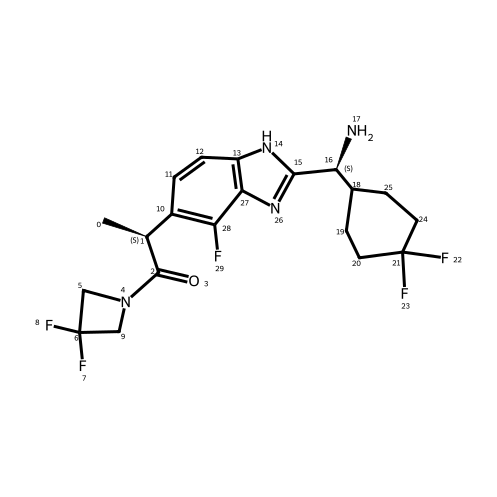 C[C@H](C(=O)N1CC(F)(F)C1)c1ccc2[nH]c([C@@H](N)C3CCC(F)(F)CC3)nc2c1F